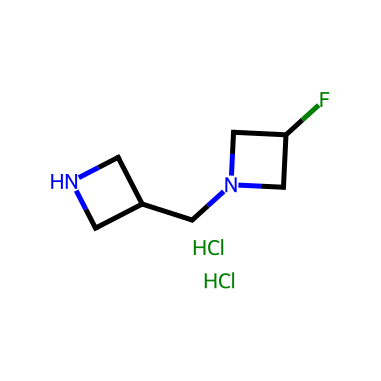 Cl.Cl.FC1CN(CC2CNC2)C1